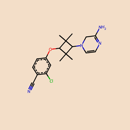 CC1(C)C(Oc2ccc(C#N)c(Cl)c2)C(C)(C)C1N1C=CN=C(N)C1